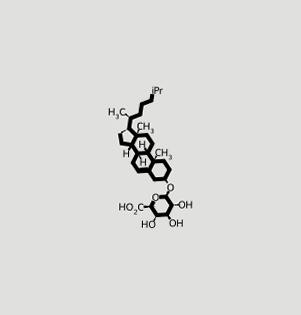 CC(C)CCC[C@@H](C)[C@H]1CC[C@H]2[C@@H]3CC=C4C[C@@H](O[C@@H]5O[C@H](C(=O)O)[C@@H](O)[C@H](O)[C@H]5O)CC[C@]4(C)[C@H]3CC[C@]12C